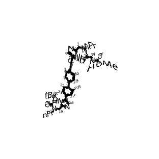 CCCN(Cc1ncc(-c2ccc(-c3ccc(-c4cnc(CN(CCC)C(=O)OC(C)(C)C)[nH]4)cc3)cc2)[nH]1)C(=O)CNC(=O)OC